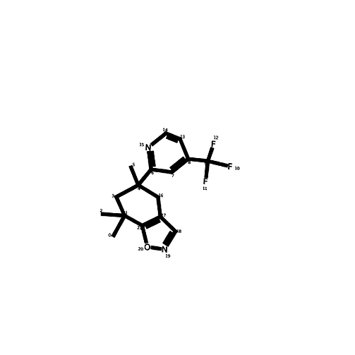 CC1(C)CC(C)(c2cc(C(F)(F)F)ccn2)Cc2cnoc21